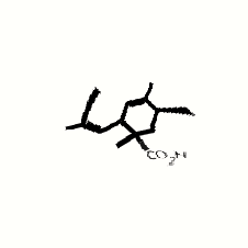 CC(C)=CC1C=C(C)C(C)CC1(C)C(=O)O